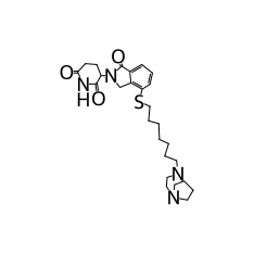 O=C1CCC(N2Cc3c(SCCCCCCCN4CCN5CCC4C5)cccc3C2=O)C(=O)N1